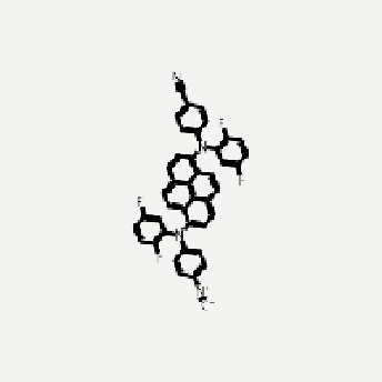 [C-]#[N+]c1ccc(N(c2cc(F)ccc2F)c2ccc3ccc4c(N(c5ccc(C#N)cc5)c5cc(F)ccc5F)ccc5ccc2c3c54)cc1